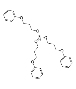 c1ccc(OCCCO[SiH](OCCCOc2ccccc2)OCCCOc2ccccc2)cc1